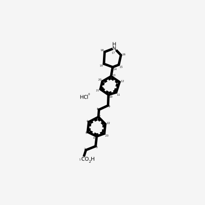 Cl.O=C(O)CCc1ccc(CCc2ccc(C3CCNCC3)cc2)cc1